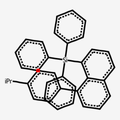 CC(C)c1ccc(-c2cccc3cccc([Si](c4ccccc4)(c4ccccc4)c4ccccc4)c23)cc1